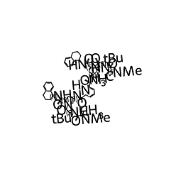 CNC(C)C(=O)N[C@H](C(=O)N1C[C@@H](NC(=O)c2cccc(C(=O)N[C@H]3C[C@@H](C(=O)NC4CCCc5ccccc54)N(C(=O)[C@@H](NC(=O)[C@H](C)NC)C(C)(C)C)C3)n2)C[C@H]1C(=O)N[C@@H]1CCCc2ccccc21)C(C)(C)C